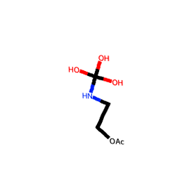 CC(=O)OCCNC(O)(O)O